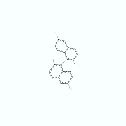 COc1ccc2cc([N+](=O)[O-])ccc2c1-c1c(OC)ccc2cc([N+](=O)[O-])ccc12